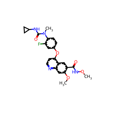 CONC(=O)c1cc2c(Oc3ccc(N(C)C(=O)NC4CC4)c(F)c3)ccnc2cc1OC